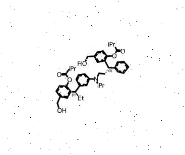 CC[C@H](c1cccc(N(CC[C@@H](c2ccccc2)c2cc(CO)ccc2OC(=O)C(C)C)C(C)C)c1)c1cc(CO)ccc1OC(=O)C(C)C